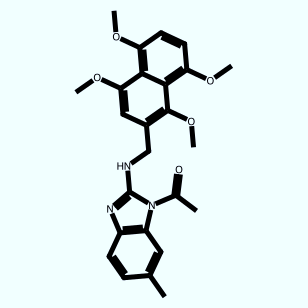 COc1ccc(OC)c2c(OC)c(CNc3nc4ccc(C)cc4n3C(C)=O)cc(OC)c12